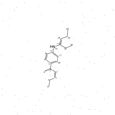 C=C(/C=C\CC)c1ccc(N/C(=C/CC)CC)cc1